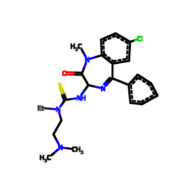 CCN(CCN(C)C)C(=S)NC1N=C(c2ccccc2)c2cc(Cl)ccc2N(C)C1=O